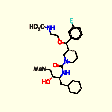 CNC[C@@H](O)[C@H](CC1CCCCC1)NC(=O)N1CCC[C@@H]([C@@H](OCCNC(=O)O)c2cccc(F)c2)C1